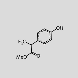 COC(=O)C(c1ccc(O)cc1)C(F)(F)F